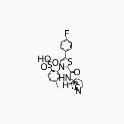 Cc1ccc(S(=O)(=O)O)c(N2C=C(c3ccc(F)cc3)SC2C(=O)N[C@H]2CN3CCC2CC3)c1